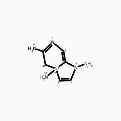 NC1=NC=C2N(N)C=C[N+]2(N)C1